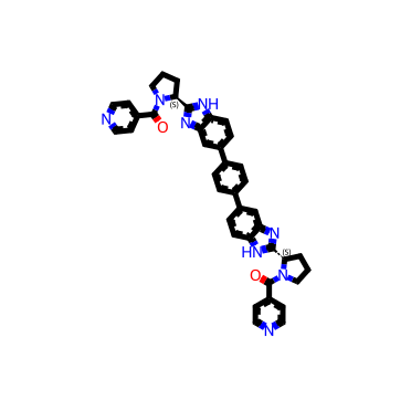 O=C(c1ccncc1)N1CCC[C@H]1c1nc2cc(-c3ccc(-c4ccc5[nH]c([C@@H]6CCCN6C(=O)c6ccncc6)nc5c4)cc3)ccc2[nH]1